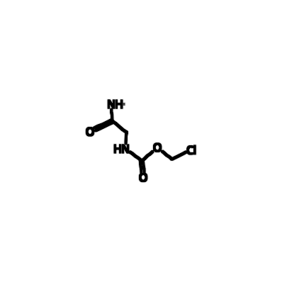 [NH]C(=O)CNC(=O)OCCl